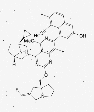 C#Cc1c(F)ccc2cc(O)cc(-c3nc(OC)c4c(N5C[C@@H]6CC[C@](C7CC7)(C5)N6)nc(OC[C@@]56CCCN5C/C(=C/F)C6)nc4c3F)c12